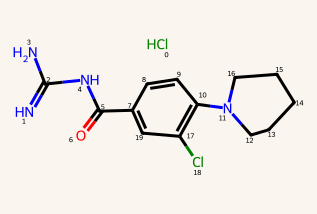 Cl.N=C(N)NC(=O)c1ccc(N2CCCCC2)c(Cl)c1